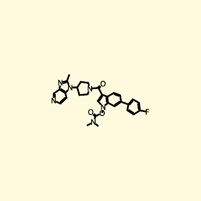 Cc1nc2cnccc2n1C1CCN(C(=O)c2cn(OC(=O)N(C)C)c3cc(-c4ccc(F)cc4)ccc23)CC1